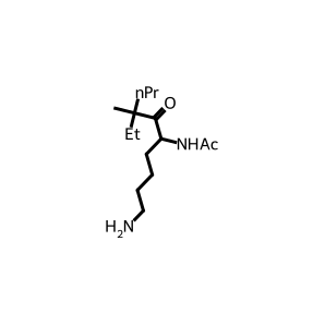 CCCC(C)(CC)C(=O)C(CCCCN)NC(C)=O